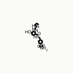 NS(=O)(=O)c1ccc(CNC(=O)c2ccc(O)c3[nH]c(-c4cccs4)nc23)cc1